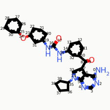 Nc1ncnc2c1c(C(=O)c1cccc(NC(=O)Nc3cccc(Oc4ccccc4)c3)c1)cn2C1CCCC1